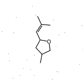 CC(C)=CC1CC(C)CO1